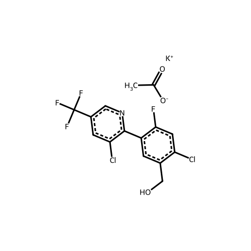 CC(=O)[O-].OCc1cc(-c2ncc(C(F)(F)F)cc2Cl)c(F)cc1Cl.[K+]